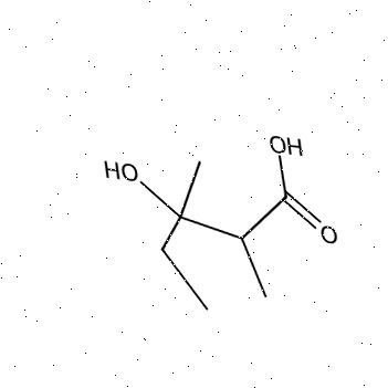 CCC(C)(O)C(C)C(=O)O